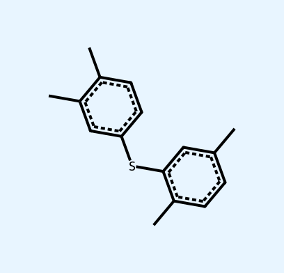 Cc1ccc(C)c(Sc2ccc(C)c(C)c2)c1